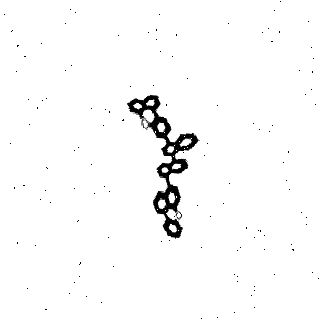 c1ccc2c(c1)Oc1ccc(-c3cccc4c(-c5ccc(-c6ccc7c(c6)Oc6cccc8cccc-7c68)c6ccccc56)cccc34)c3cccc-2c13